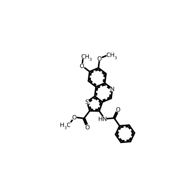 COC(=O)c1sc2c(cnc3cc(OC)c(OC)cc32)c1NC(=O)c1ccccc1